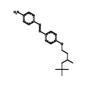 CC(CCOc1ccc(/N=N/c2ccc(N)cc2)cc1)CC(C)(C)C